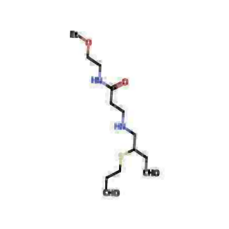 CCOCCNC(=O)CCNCC(CC=O)SCCC=O